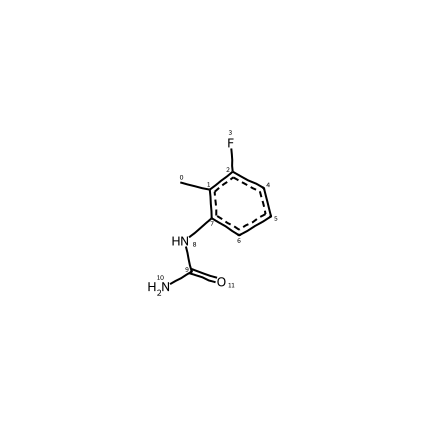 Cc1c(F)cccc1NC(N)=O